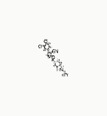 CC(C)CNCc1ccc(COc2scc(-c3ccc(Cl)c(Cl)c3)c2C#N)cc1